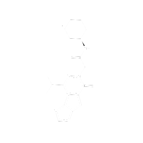 CC(C)c1nn(CC(=O)N[C@@H]2CCC[C@@H](O)C2)c(=O)c2cc3scnc3n12